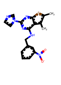 Cc1sc2nc(-n3ccnc3)nc(NCc3cccc([N+](=O)[O-])c3)c2c1C